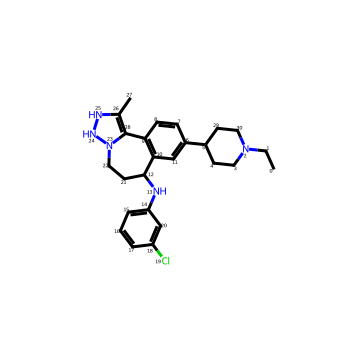 CCN1CCC(c2ccc3c(c2)C(Nc2cccc(Cl)c2)CCN2NNC(C)=C32)CC1